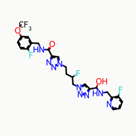 O=C(NCc1cc(OC(F)(F)F)ccc1F)c1cn(CCC(F)Cn2cc(C(O)NCc3ncccc3F)nn2)nn1